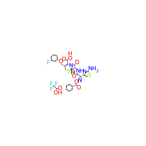 Nc1nc(/C(=N/OC(=O)c2ccccc2)C(=O)NC2C(=O)N3C(C(=O)O)=C(COc4cccc(F)c4)CS[C@H]23)cs1.O=C(O)C(F)(F)F